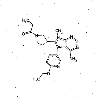 C=CC(=O)N1CCC(c2c(-c3ccc(OCC(F)(F)F)nc3)c3c(N)ncnc3n2C)C1